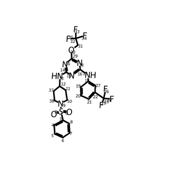 O=S(=O)(c1ccccc1)N1CCC(Nc2nc(Nc3cccc(C(F)(F)F)c3)nc(OCC(F)(F)F)n2)CC1